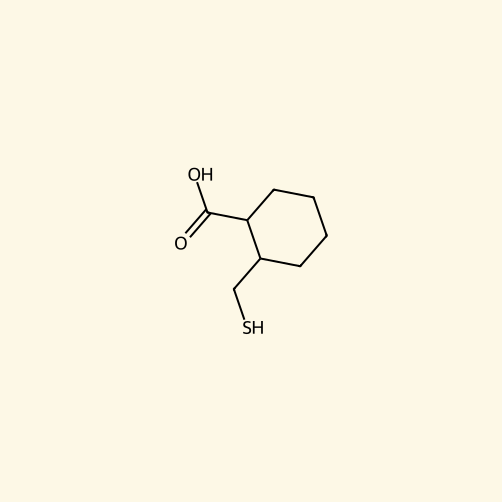 O=C(O)C1CCCCC1CS